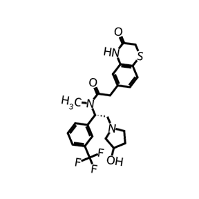 CN(C(=O)Cc1ccc2c(c1)NC(=O)CS2)[C@H](CN1CCC(O)C1)c1cccc(C(F)(F)F)c1